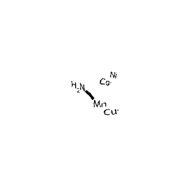 [Co].[Cu].[NH2][Mn].[Ni]